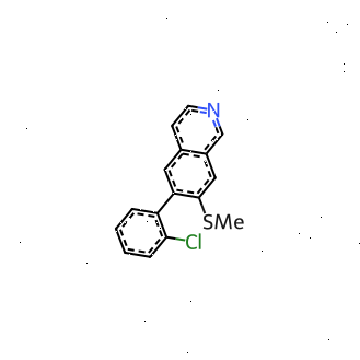 CSc1cc2cnccc2cc1-c1ccccc1Cl